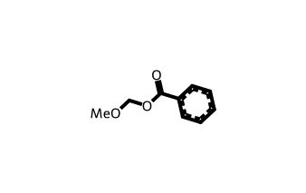 [CH2]OCOC(=O)c1ccccc1